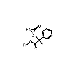 CC(C)OC(=O)C(C)(C)c1ccccc1.O=C1NN1